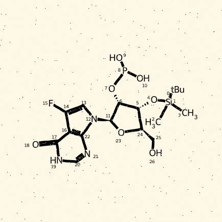 CC(C)(C)[Si](C)(C)O[C@H]1[C@@H](OP(O)O)[C@H](n2cc(F)c3c(=O)[nH]cnc32)O[C@@H]1CO